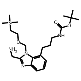 CC(C)(C)OC(=O)NCCCc1cccc2nc(CN)n(COCC[Si](C)(C)C)c12